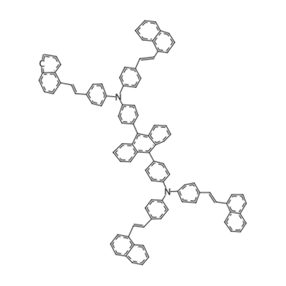 C(=Cc1cccc2ccccc12)c1ccc(N(c2ccc(C=Cc3cccc4ccccc34)cc2)c2ccc(-c3c4ccccc4c(-c4ccc(N(c5ccc(C=Cc6cccc7ccccc67)cc5)c5ccc(C=Cc6cccc7ccccc67)cc5)cc4)c4ccccc34)cc2)cc1